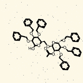 CC(=O)O[C@@H]1[C@@H](OC[C@H]2OC(O)[C@H](OCc3ccccc3)[C@@H](OCc3ccccc3)[C@@H]2OCc2ccccc2)O[C@H](COCc2ccccc2)[C@@H](OCc2ccccc2)[C@@H]1OCc1ccccc1